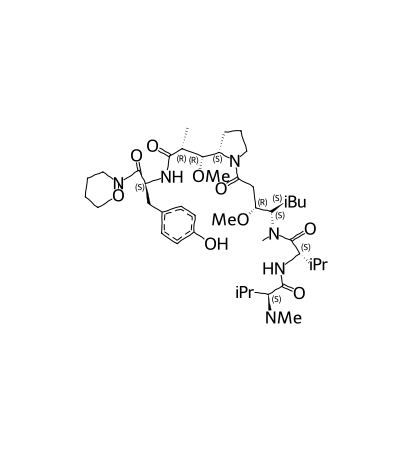 CC[C@H](C)[C@@H]([C@@H](CC(=O)N1CCC[C@H]1[C@H](OC)[C@@H](C)C(=O)N[C@@H](Cc1ccc(O)cc1)C(=O)N1CCCCO1)OC)N(C)C(=O)[C@@H](NC(=O)[C@@H](NC)C(C)C)C(C)C